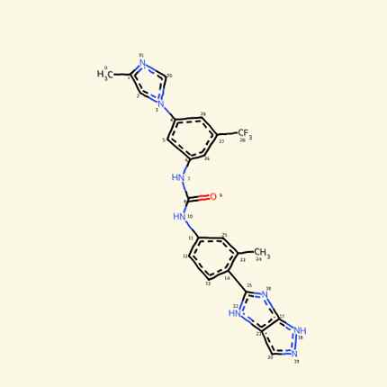 Cc1cn(-c2cc(NC(=O)Nc3ccc(-c4nc5[nH]ncc5[nH]4)c(C)c3)cc(C(F)(F)F)c2)cn1